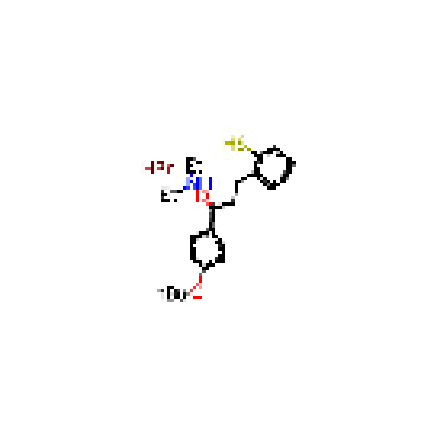 Br.CCCCOc1ccc(C(=O)CCc2ccccc2S)cc1.CCNCC